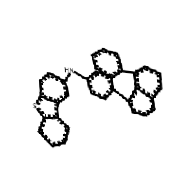 c1ccc(-c2cccc3cccc(-c4ccc(Nc5ccc6sc7ccccc7c6c5)cc4)c23)cc1